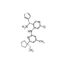 CCC1(c2cc(C)cc(Nc3cc(Cl)ncc3C(N)C3=CCC=C3)n2)CCCC1